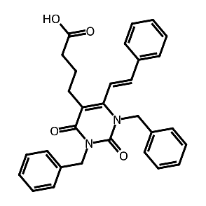 O=C(O)CCCc1c(C=Cc2ccccc2)n(Cc2ccccc2)c(=O)n(Cc2ccccc2)c1=O